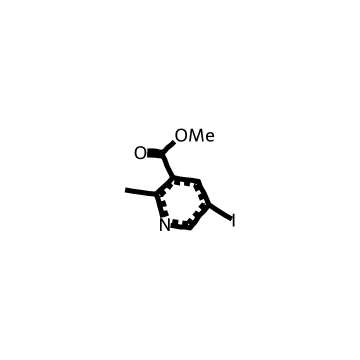 COC(=O)c1cc(I)cnc1C